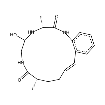 C[C@H]1CC/C=C/c2ccccc2NC(=O)[C@@H](C)NC(O)CNC1=O